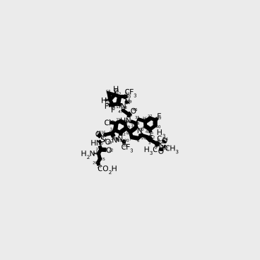 CC(C)(C#Cc1ccc(-c2ccc(Cl)c3c(CS(=O)(=O)NC(=O)[C@@H](N)CCC(=O)O)nn(CC(F)(F)F)c23)c([C@H](Cc2cc(F)cc(F)c2)NC(=O)Cn2nc(C(F)(F)F)c3c2C(F)(F)[C@@H]2C[C@H]32)n1)S(C)(=O)=O